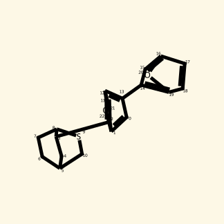 c1c2c(C3CC4CCC3SC4)cc(c1-c1cc3ccc1o3)CO2